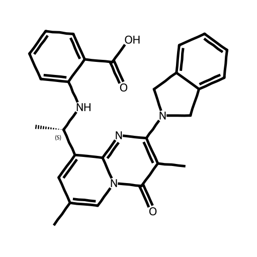 Cc1cc([C@H](C)Nc2ccccc2C(=O)O)c2nc(N3Cc4ccccc4C3)c(C)c(=O)n2c1